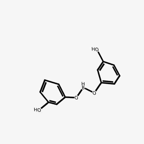 Oc1cccc(OBOc2cccc(O)c2)c1